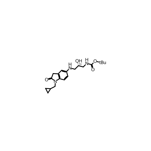 CC(C)(C)OC(=O)NC[C@@H](O)CNc1ccc2c(c1)CC(=O)N2CC1CC1